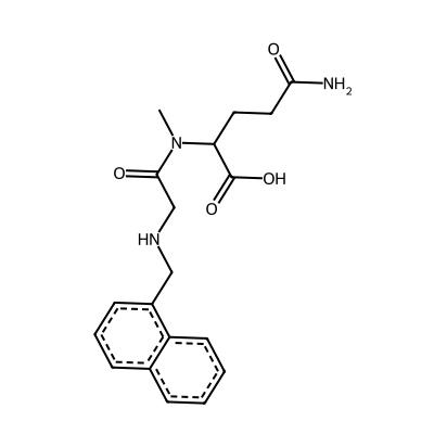 CN(C(=O)CNCc1cccc2ccccc12)C(CCC(N)=O)C(=O)O